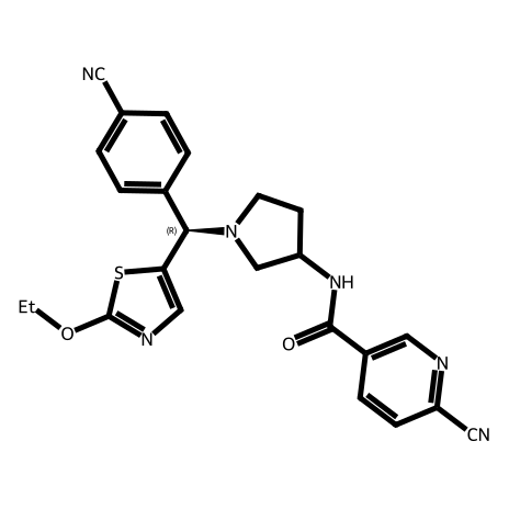 CCOc1ncc([C@@H](c2ccc(C#N)cc2)N2CCC(NC(=O)c3ccc(C#N)nc3)C2)s1